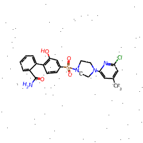 NC(=O)c1ccccc1-c1ccc(S(=O)(=O)N2CCN(c3cc(C(F)(F)F)cc(Cl)n3)CC2)cc1O